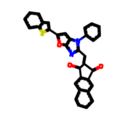 O=C1C(=Cc2nc3oc(-c4cc5ccccc5s4)cc3n2-c2ccccc2)C(=O)c2cc3ccccc3cc21